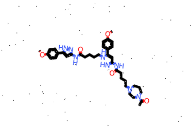 COc1ccc(/C(=C/C(=N)NC(=O)CCCCN2CCCN(C(C)=O)CC2)NCCCCC(=O)Nc2cc(-c3ccc(OC)cc3)[nH]n2)cc1